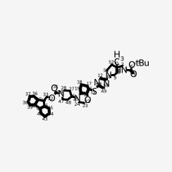 CC1(CNC(=O)OC(C)(C)C)CCN(c2cnc(Sc3cccc4c3OCCN4C3CCN(C(=O)OCC4c5ccccc5-c5ccccc54)CC3)cn2)CC1